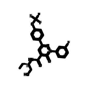 CC[C@@H](CO)NC(=O)c1cc(-c2ccc(OC(F)(F)F)cc2)nn(-c2cccc(F)c2)c1=O